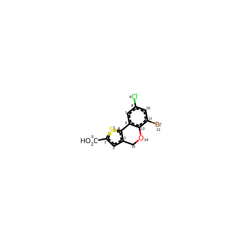 O=C(O)c1cc2c(s1)-c1cc(Cl)cc(Br)c1OC2